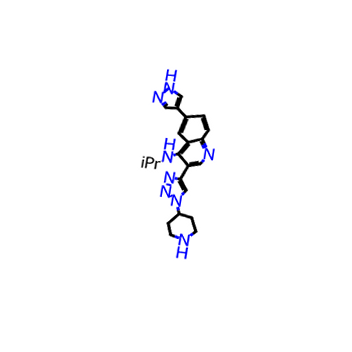 CC(C)Nc1c(-c2cn(C3CCNCC3)nn2)cnc2ccc(-c3cn[nH]c3)cc12